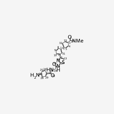 CNC(=O)c1ccc(-c2cccc(-c3csc(NC(=O)CNC(=O)c4ccc(N)cc4)n3)c2)cc1